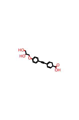 O=C(O)C1C=CC(C#Cc2ccc(OCC(O)CO)cc2)=CC1